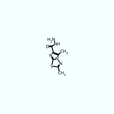 Cc1nn2c(C)c(C(=O)NN)nc2s1